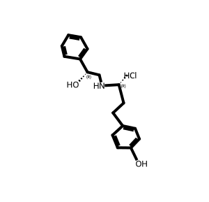 C[C@H](CCc1ccc(O)cc1)NC[C@H](O)c1ccccc1.Cl